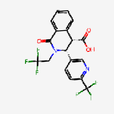 O=C(O)[C@H]1c2ccccc2C(=O)N(CC(F)(F)F)[C@H]1c1ccc(C(F)(F)F)nc1